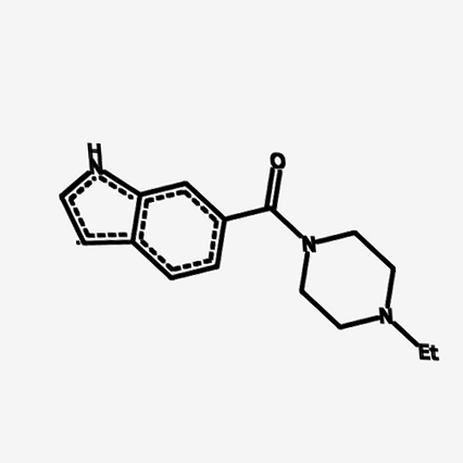 CCN1CCN(C(=O)c2ccc3[c]c[nH]c3c2)CC1